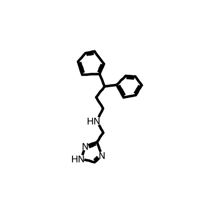 c1ccc(C(CCNCc2nc[nH]n2)c2ccccc2)cc1